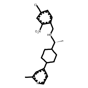 Cc1cc(C2CCC([C@@H](C)NCc3ccc(Cl)cc3[N+](=O)[O-])CC2)ccn1